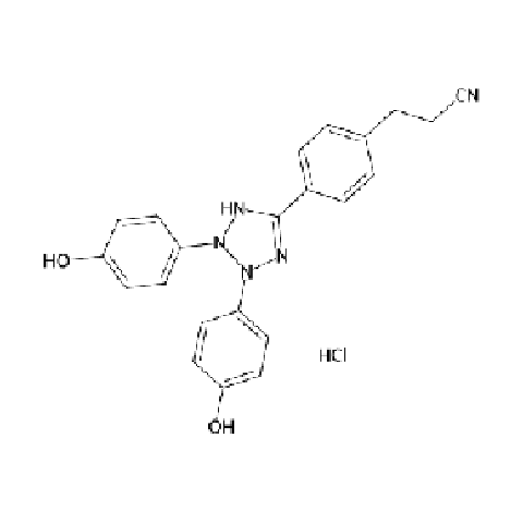 Cl.N#CCCc1ccc(C2=NN(c3ccc(O)cc3)N(c3ccc(O)cc3)N2)cc1